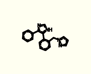 c1ccc(-c2nc[nH]c2-c2ccccc2Cn2cccn2)cc1